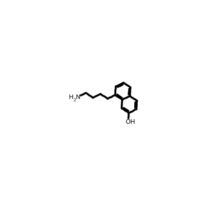 NCCCCc1cccc2ccc(O)cc12